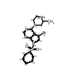 CC1CN(c2ncnc3c2c(Br)cn3S(=O)(=O)c2ccccc2)CCN1